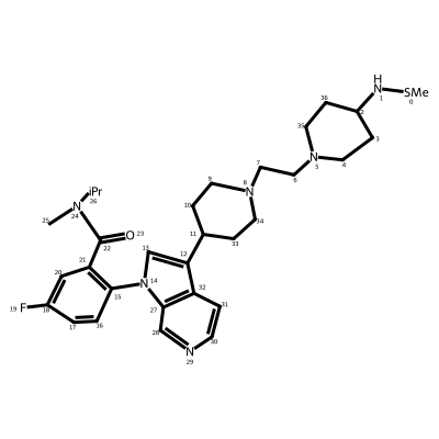 CSNC1CCN(CCN2CCC(c3cn(-c4ccc(F)cc4C(=O)N(C)C(C)C)c4cnccc34)CC2)CC1